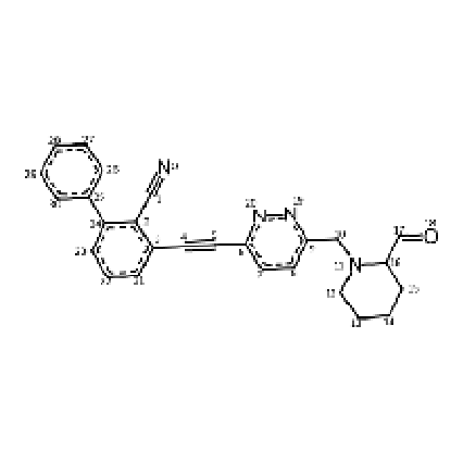 N#Cc1c(C#Cc2ccc(CN3CCCCC3C=O)nn2)cccc1-c1ccccc1